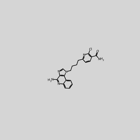 NC(=O)c1ccc(CCCCn2cnc3c(N)nc4ccccc4c32)nc1Cl